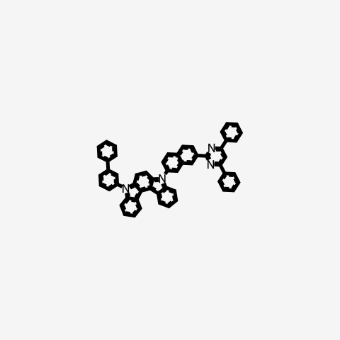 c1ccc(-c2cccc(-n3c4ccccc4c4c5c6ccccc6n(-c6ccc7ccc(-c8nc(-c9ccccc9)cc(-c9ccccc9)n8)cc7c6)c5ccc43)c2)cc1